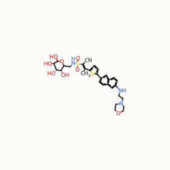 C/C(=C(/C#N)S(=O)(=O)NCC1OC(O)[C@H](O)[C@@H](O)[C@@H]1O)c1ccc(-c2ccc3cc(NCCN4CCOCC4)ccc3c2)s1